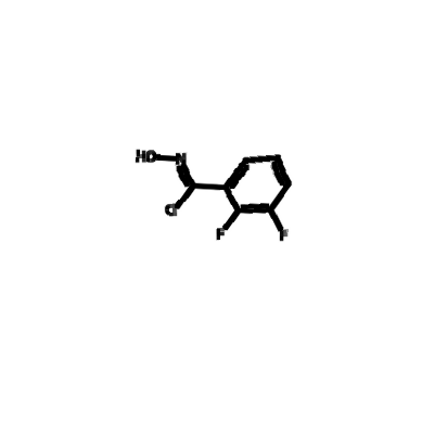 ON=C(Cl)c1cccc(F)c1F